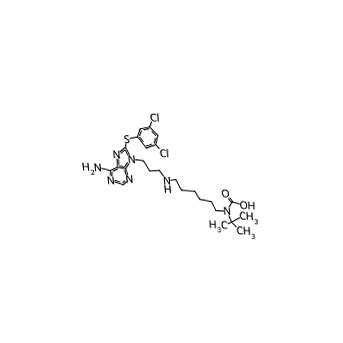 CC(C)(C)N(CCCCCCNCCCn1c(Sc2cc(Cl)cc(Cl)c2)nc2c(N)ncnc21)C(=O)O